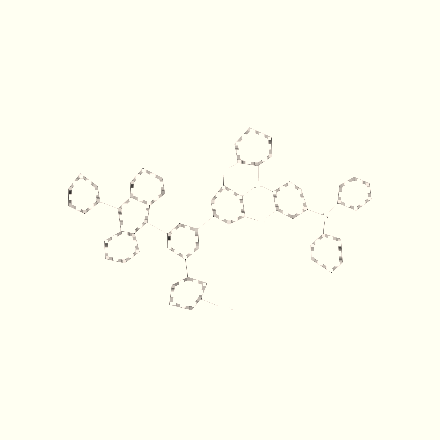 CC(C)(C)c1cccc(-c2cc(-c3cc4c5c(c3)Oc3cc(N(c6ccccc6)c6ccccc6)ccc3B5c3ccccc3O4)cc(-c3c4ccccc4c(-c4ccccc4)c4ccccc34)c2)c1